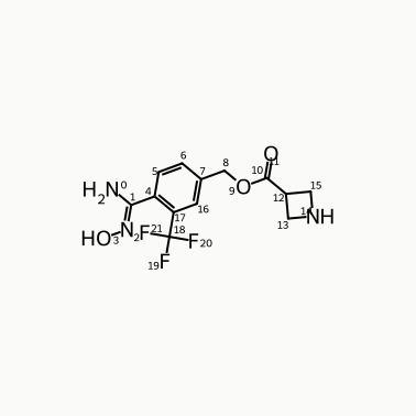 NC(=NO)c1ccc(COC(=O)C2CNC2)cc1C(F)(F)F